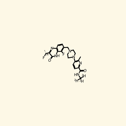 [2H]C([2H])([2H])NC(=O)c1ccc(N2CCN(Cc3ccc4nc([C@@H](C)F)c(=O)[nH]c4c3F)CC2)c(C)n1